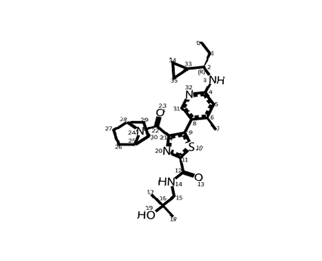 CC[C@@H](Nc1cc(C)c(-c2sc(C(=O)NCC(C)(C)O)nc2C(=O)N2C3CCC2CC3)cn1)C1CC1